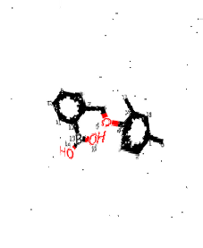 Cc1ccc(OCc2ccccc2B(O)O)c(C)c1